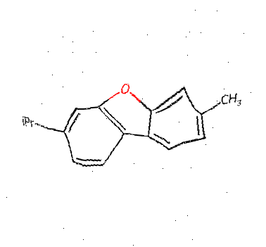 Cc1ccc2c(c1)oc1cc(C(C)C)ccc12